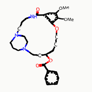 COc1cc2cc(c1OC)OCCCC(OC(=O)c1ccccc1)CCN1CCCN(CCCNC2=O)CC1